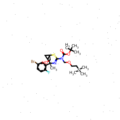 CC(C)(C)OC(=O)N(COCC[Si](C)(C)C)C1=N[C@](C)(c2cc(Br)ccc2F)C2C[C@]2(CO)S1